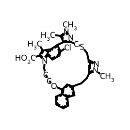 Cc1c(C(=O)O)n2c3ccc(Cl)c(c13)-c1c(nn(C)c1C)CSCc1cc(n(C)n1)CCc1cc(c3ccccc3c1)OCCC2